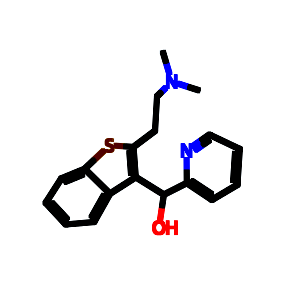 CN(C)CCc1sc2ccccc2c1C(O)c1ccccn1